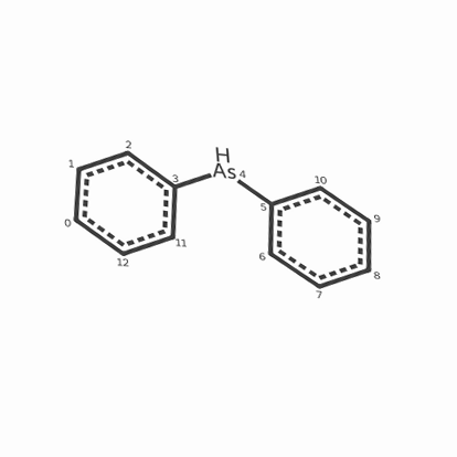 c1ccc([AsH]c2ccccc2)cc1